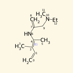 C=C/C(C)=C(\C)NC(=C)CN(C)CC